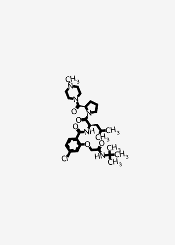 CC(C)C[C@@H](NC(=O)c1ccc(Cl)cc1OCC(=O)NC(C)(C)C)C(=O)N1CCC[C@@H]1C(=O)N1CCN(C)CC1